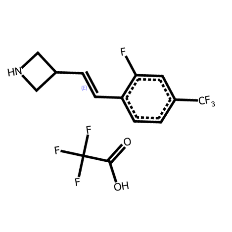 Fc1cc(C(F)(F)F)ccc1/C=C/C1CNC1.O=C(O)C(F)(F)F